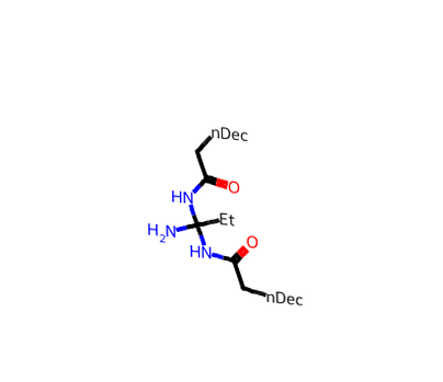 CCCCCCCCCCCC(=O)NC(N)(CC)NC(=O)CCCCCCCCCCC